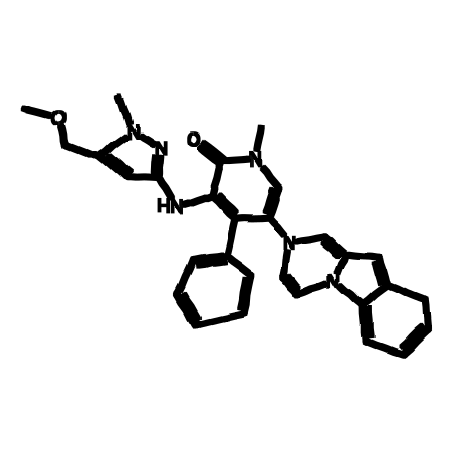 COCc1cc(Nc2c(-c3ccccc3)c(N3C=Cn4c(cc5c4=CC=CC5)=C3)cn(C)c2=O)nn1C